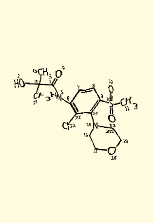 CC(O)(C(=O)Nc1ccc(S(C)(=O)=O)c(N2CCOCC2)c1Cl)C(F)(F)F